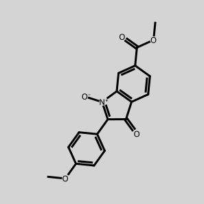 COC(=O)c1ccc2c(c1)[N+]([O-])=C(c1ccc(OC)cc1)C2=O